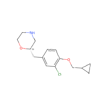 Clc1cc(C[C@H]2CNCCO2)ccc1OCC1CC1